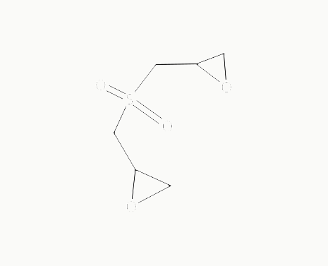 O=S(=O)(CC1CO1)CC1CO1